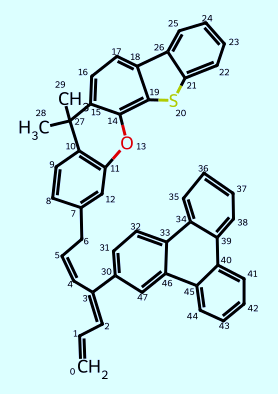 C=C/C=C(\C=C/Cc1ccc2c(c1)Oc1c(ccc3c1sc1ccccc13)C2(C)C)c1ccc2c3ccccc3c3ccccc3c2c1